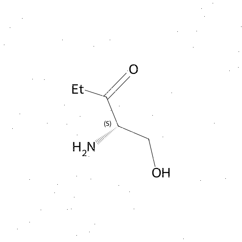 CCC(=O)[C@@H](N)CO